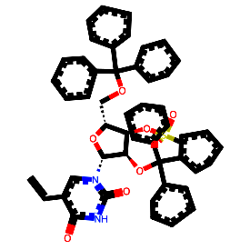 C=Cc1cn([C@@H]2O[C@H](COC(c3ccccc3)(c3ccccc3)c3ccccc3)[C@@H](OS(C)(=O)=O)[C@H]2OC(c2ccccc2)(c2ccccc2)c2ccccc2)c(=O)[nH]c1=O